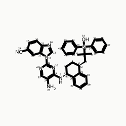 CC(C)(C[C@@H]1CC[C@@H](Nc2nc(-n3cnc4ccc(C#N)cc43)ncc2N)c2ccccc21)[Si](O)(c1ccccc1)c1ccccc1